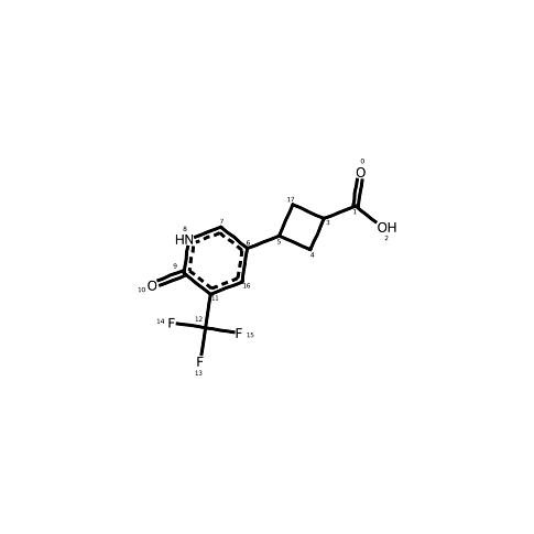 O=C(O)C1CC(c2c[nH]c(=O)c(C(F)(F)F)c2)C1